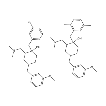 COc1cccc(CC2CCC(O)(Cc3cc(C)ccc3C)C(CN(C)C)C2)c1.COc1cccc(CC2CCC(O)(Cc3cccc(Cl)c3)C(CN(C)C)C2)c1